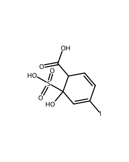 O=C(O)C1C=CC(I)=CC1(O)S(=O)(=O)O